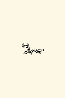 CCc1c(/C=C2/CN(C(=O)c3ncnc(C)c3O)C(C)(C)C2)c(=O)n2nc(C3=CC(C)OCC3)nc2n1CC(=O)Nc1ccc(C(F)(F)F)cc1Cl